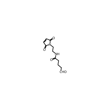 O=CCCCC(=O)NCCN1C(=O)C=CC1=O